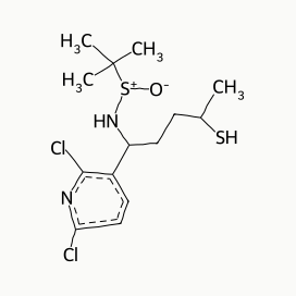 CC(S)CCC(N[S+]([O-])C(C)(C)C)c1ccc(Cl)nc1Cl